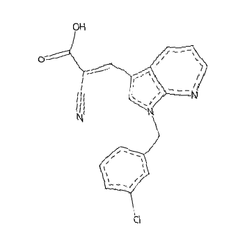 N#C/C(=C\c1cn(Cc2cccc(Cl)c2)c2ncccc12)C(=O)O